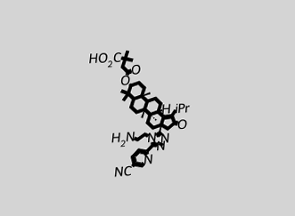 CC(C)C1=C2[C@H]3CCC4[C@@]5(C)CC[C@H](OC(=O)CC(C)(C)C(=O)O)C(C)(C)C5CC[C@@]4(C)[C@]3(C)CC[C@@]2(c2nnc(-c3ccc(C#N)cn3)n2CCN)CC1=O